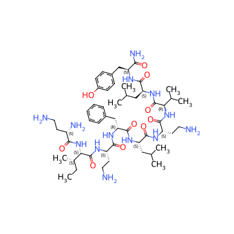 CC[C@H](C)[C@H](NC(=O)[C@@H](N)CCN)C(=O)N[C@@H](CCN)C(=O)N[C@H](Cc1ccccc1)C(=O)N[C@@H](CC(C)C)C(=O)N[C@@H](CCN)C(=O)N[C@@H](C(=O)N[C@@H](CC(C)C)C(=O)N[C@@H](Cc1ccc(O)cc1)C(N)=O)C(C)C